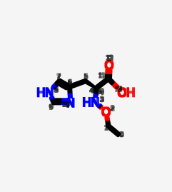 CCON[C@@H](Cc1c[nH]cn1)C(=O)O